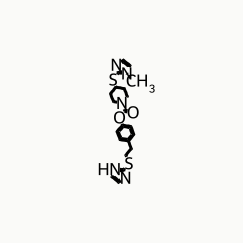 Cn1ccnc1SC1CCN(C(=O)Oc2ccc(CCSc3ncc[nH]3)cc2)CC1